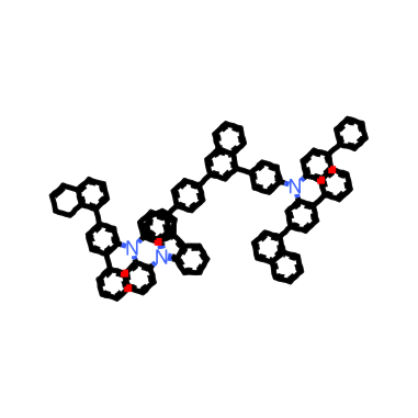 C1=Cc2cccc(-c3ccc(-c4ccccc4)c(N(c4ccc(-c5ccc(-c6cc(-c7ccc(N(c8ccc(-c9ccccc9)cc8)c8cc(-c9cccc%10ccccc9%10)ccc8-c8ccccc8)cc7)c7ccccc7c6)cc5)cc4)c4ccccc4-n4c5ccccc5c5ccccc54)c3)c2CC1